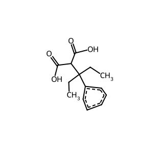 CCC(CC)(c1ccccc1)C(C(=O)O)C(=O)O